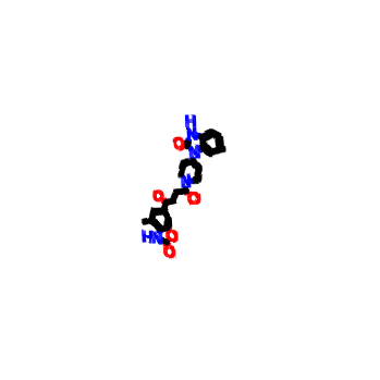 Cc1cc(C(=O)CCC(=O)N2CCC(n3c(=O)[nH]c4ccccc43)CC2)cc2oc(=O)[nH]c12